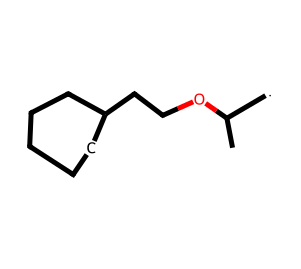 [CH2]C(C)OCCC1CCCCC1